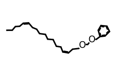 CCCC/C=C\CCCCCCCC/C=C\CCOCOCc1ccccc1